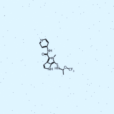 CC(NSc1c2[nH]ccc2c(C(=O)Nc2ccncc2)n1C)OC(F)(F)F